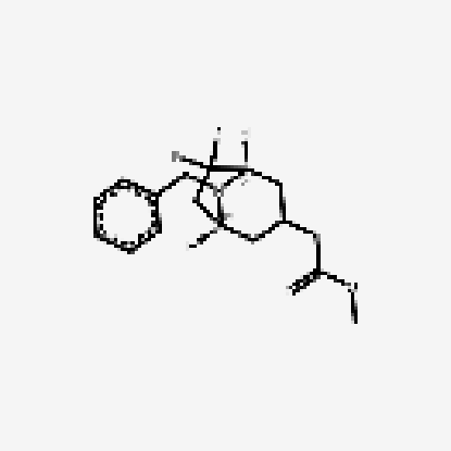 COC(=O)CC1C[C@@H]2CC(F)(F)[C@H](C1)N2Cc1ccccc1